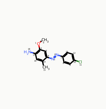 COc1cc(/N=N/c2ccc(Cl)cc2)c(C)cc1N